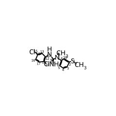 CSc1cccc(N(C)C(=N)Nc2cc(Cl)ccc2Cl)c1